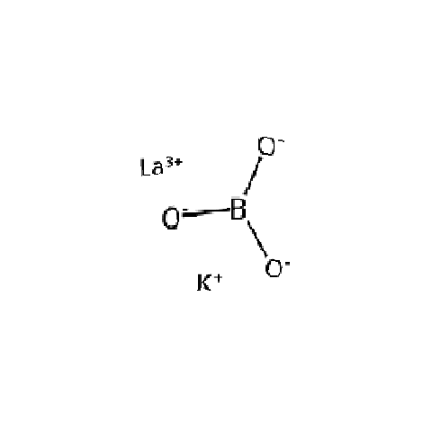 [K+].[La+3].[O-]B([O-])[O-]